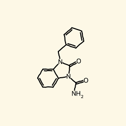 NC(=O)n1c(=O)n(Cc2ccccc2)c2ccccc21